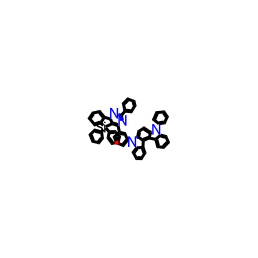 c1ccc(-c2nc(-c3cccc(-n4c5ccccc5c5c6c7ccccc7n(-c7ccccc7)c6ccc54)c3)c3c(n2)-c2ccccc2[Si]3(c2ccccc2)c2ccccc2)cc1